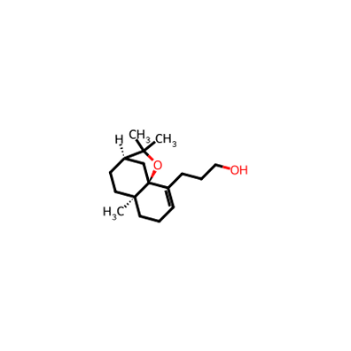 CC1(C)O[C@]23C[C@H]1CC[C@]2(C)CCC=C3CCCO